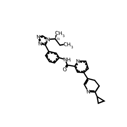 CC[C@H](C)n1cnnc1-c1cccc(NC(=O)c2cc(C3=CN=C(C4CC4)CC3)ccn2)c1